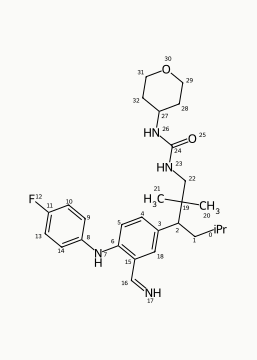 CC(C)CC(c1ccc(Nc2ccc(F)cc2)c(C=N)c1)C(C)(C)CNC(=O)NC1CCOCC1